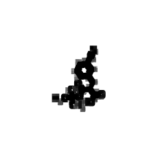 CC(C)(C)OC(=O)[C@@H](Cc1cccc(C#N)c1)C(=O)O